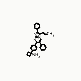 CC=Cc1c(-c2ccccc2)nc2nc(-c3ccc(C4(N)CCC4)cc3)c(-c3ccccc3)cn12